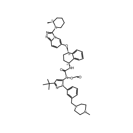 C[C@H]1CCCCN1c1nnc2ccc(O[C@@H]3CC[C@H](NC(=O)N(OC=O)c4cc(C(C)(C)C)nn4-c4cccc(CN5CCN(C)CC5)c4)c4ccccc43)cn12